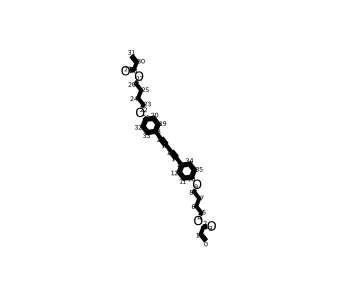 C=CC(=O)OCCCCOc1ccc(C#CC#Cc2ccc(OCCCCOC(=O)C=C)cc2)cc1